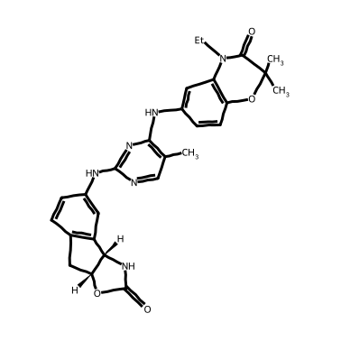 CCN1C(=O)C(C)(C)Oc2ccc(Nc3nc(Nc4ccc5c(c4)[C@@H]4NC(=O)O[C@@H]4C5)ncc3C)cc21